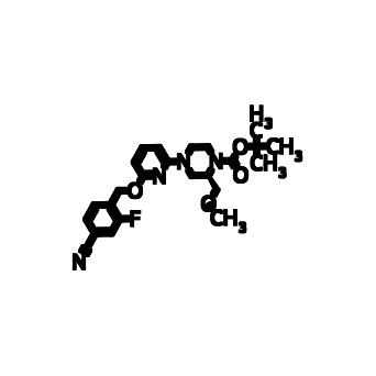 COC[C@H]1CN(c2cccc(OCc3ccc(C#N)cc3F)n2)CCN1C(=O)OC(C)(C)C